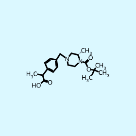 CC(C(=O)O)c1ccc(CN2CCN(C(=O)OC(C)(C)C)[C@@H](C)C2)cc1